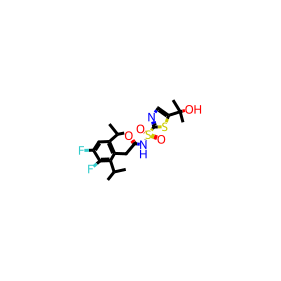 CC(C)c1cc(F)c(F)c(C(C)C)c1CC(=O)NS(=O)(=O)c1ncc(C(C)(C)O)s1